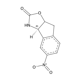 O=C1N[C@@H]2c3cc([N+](=O)[O-])ccc3CC2O1